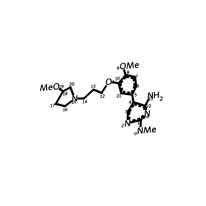 CNc1ncc(-c2ccc(OC)c(OCCCN3CCC(OC)C3)c2)c(N)n1